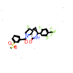 CS(=O)(=O)c1cccc(C(=O)N2C[C@@H](F)C[C@@H]2C(=O)NC(c2cc(F)c(C(F)(F)F)cc2F)C2CC2)c1